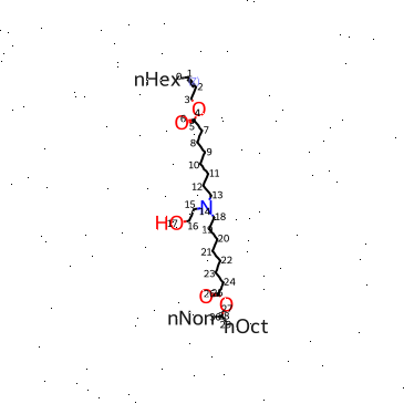 CCCCCC/C=C\COC(=O)CCCCCCCN(CCO)CCCCCCCC(=O)OC(CCCCCCCC)CCCCCCCCC